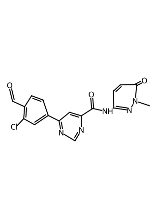 Cn1nc(NC(=O)c2cc(-c3ccc(C=O)c(Cl)c3)ncn2)ccc1=O